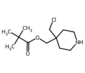 CC(C)(C)C(=O)OCC1(CCl)CCNCC1